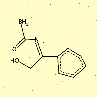 BC(=O)/N=C(\CO)c1ccccc1